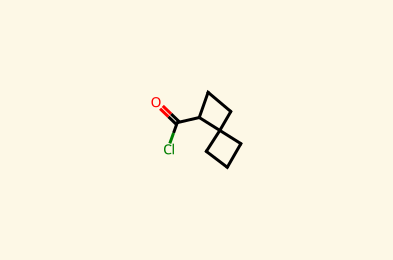 O=C(Cl)C1CCC12CCC2